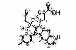 CC(C)(CC#N)c1c(C2CO[C@@H](C(=O)O)C2)c2nc3[nH]ncc3cc2n1-c1ccc(F)cc1